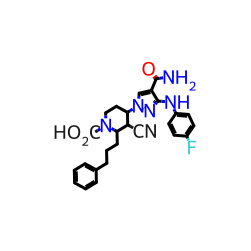 N#CC1C(CCCc2ccccc2)N(C(=O)O)CCC1n1cc(C(N)=O)c(Nc2ccc(F)cc2)n1